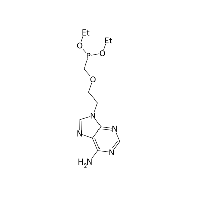 CCOP(COCCn1cnc2c(N)ncnc21)OCC